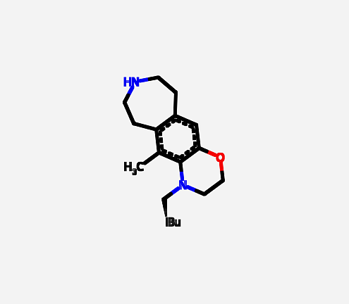 CC[C@H](C)CN1CCOc2cc3c(c(C)c21)CCNCC3